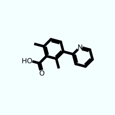 Cc1ccc(-c2ccccn2)c(C)c1C(=O)O